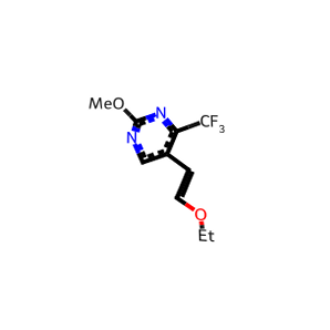 CCOC=Cc1cnc(OC)nc1C(F)(F)F